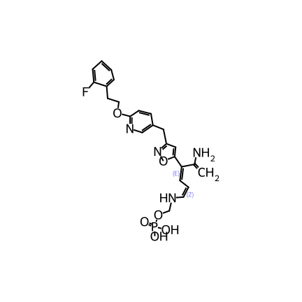 C=C(N)/C(=C\C=C/NCOP(=O)(O)O)c1cc(Cc2ccc(OCCc3ccccc3F)nc2)no1